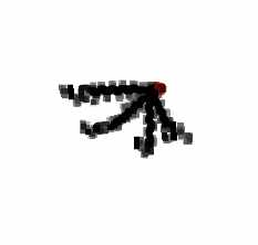 CCCCCCCCCCCCC([C]=O)(CCCCCCCC)C(CCCCCCCC)CCCCCCCCC